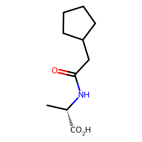 C[C@H](NC(=O)CC1CCCC1)C(=O)O